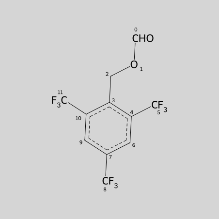 O=COCc1c(C(F)(F)F)cc(C(F)(F)F)cc1C(F)(F)F